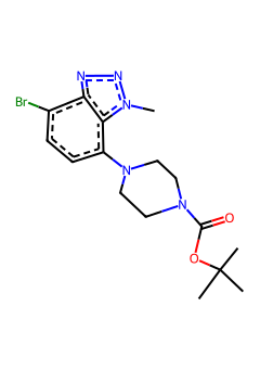 Cn1nnc2c(Br)ccc(N3CCN(C(=O)OC(C)(C)C)CC3)c21